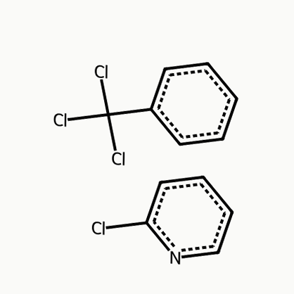 ClC(Cl)(Cl)c1ccccc1.Clc1ccccn1